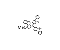 COc1ccc(N(c2ccc3c(c2)C(C)(C)c2ccccc2-3)c2ccc3c(c2)C(C)(C)c2ccccc2-3)c2ccc3ccccc3c12